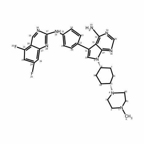 CN1CCN([C@H]2CC[C@@H](n3cc(-c4ccc(Nc5ncc6c(F)cc(F)cc6n5)cc4)c4c(N)ncnc43)CC2)CC1